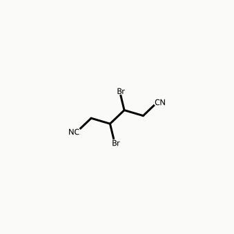 N#CCC(Br)C(Br)CC#N